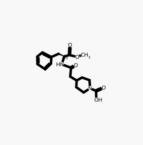 COC(=O)[C@H](Cc1ccccc1)NC(=O)CC1CCN(C(=O)O)CC1